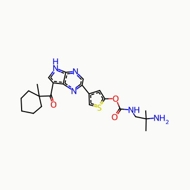 CC(C)(N)CNC(=O)Oc1cc(-c2cnc3[nH]cc(C(=O)C4(C)CCCCC4)c3n2)cs1